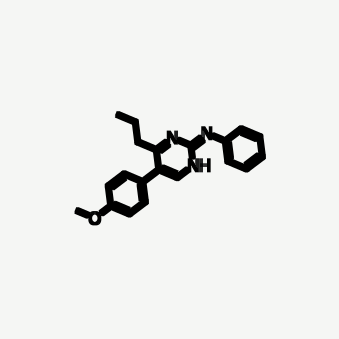 CCCc1nc(=Nc2ccccc2)[nH]cc1-c1ccc(OC)cc1